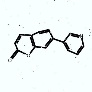 O=c1ccc2ccc(-c3cccnc3)cc2o1